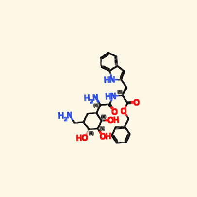 NCC1CC([C@@H](N)C(=O)N[C@@H](Cc2cc3ccccc3[nH]2)C(=O)OCc2ccccc2)[C@@H](O)[C@@H](O)[C@@H]1O